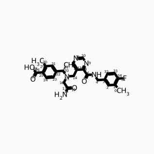 Cc1cc(CNC(=O)c2ncncc2CN(CC(N)=O)[C@@H](C)c2ccc(C(=O)O)c(C)c2)ccc1F